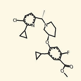 COC(=O)c1cc(C2CC2)c(O[C@@H]2CCCN([C@@H](C)c3ccc(Cl)c(C4CC4)n3)C2)cc1F